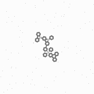 c1ccc(-n2c3ccc(-c4cccc([Si](c5ccccc5)(c5ccccc5)c5ccc6c7ccccc7c7ccccc7c6c5)c4)cc3c3cc(-n4c5ccccc5c5ccccc54)ccc32)cc1